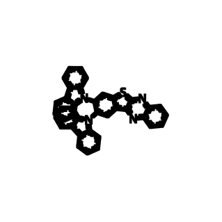 c1ccc2nc3c(nc2c1)sc1cc(-n2c4ccccc4c4ccccc42)c(-n2c4ccccc4c4ccccc42)cc13